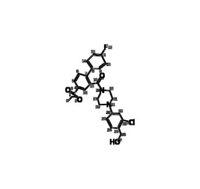 CS(=O)(=O)c1ccc(-c2ccc(F)cc2)c(C(=O)N2CCN(c3ccc(CO)c(Cl)c3)CC2)c1